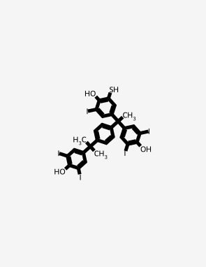 CC(C)(c1ccc(C(C)(c2cc(S)c(O)c(I)c2)c2cc(I)c(O)c(I)c2)cc1)c1cc(I)c(O)c(I)c1